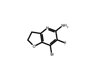 Nc1nc2c(c(Br)c1F)OCC2